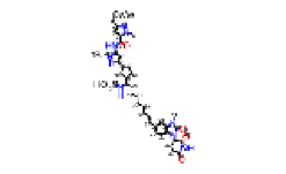 COCc1cc(C(=O)Nc2cc([C@H]3CC[C@@H](C(CCCCCCCCc4ccc5c(c4)n(C)c(=O)n5C4CCC(=O)NC4=O)NC(=O)O)C3)nn2C(C)(C)C)n(C)n1